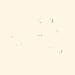 NC(=O)Oc1cc(Nc2cc(Cl)c3n(c2=O)C(c2cccc(F)c2)NC3=O)ncn1